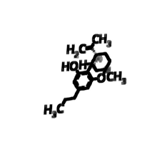 C=C(C)[C@@H]1CC[C@]2(C)C[C@@H]1c1c(O)cc(CCC)cc1O2